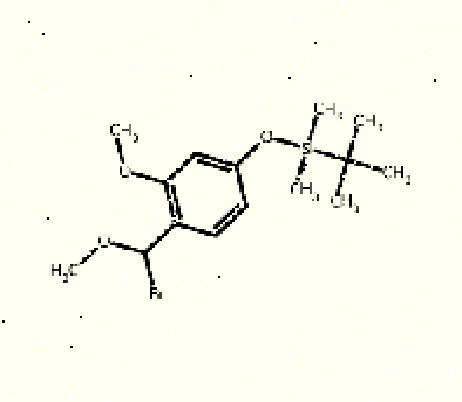 COc1cc(O[Si](C)(C)C(C)(C)C)ccc1C(Br)OC